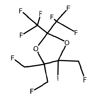 FCC1(I)OC(C(F)(F)F)(C(F)(F)F)OC1(CF)CF